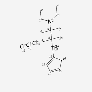 CCN(CC)C(C)(C)[C](C)(C)[Ti+3][C]1=CC=CC1.[Cl-].[Cl-].[Cl-]